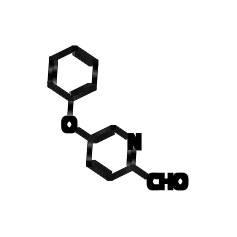 O=Cc1ccc(Oc2ccccc2)cn1